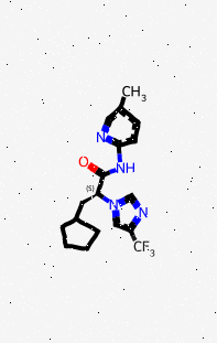 Cc1ccc(NC(=O)[C@H](CC2CCCC2)n2cnc(C(F)(F)F)c2)nc1